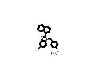 COc1ccc(Cn2c(-c3cccc4ccccc34)nc3cc(Cl)ccc32)cc1